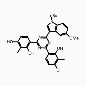 CCCCn1cc(-c2nc(-c3ccc(O)c(C)c3O)nc(-c3ccc(O)c(C)c3O)n2)c2cc(OC)ccc21